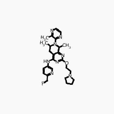 Cc1nccnc1N1C(C)Cc2c(Nc3ccc(CF)nc3)nc(OCCN3CCCC3)nc2C1C